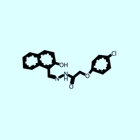 O=C(COc1ccc(Cl)cc1)N/N=C\c1c(O)ccc2ccccc12